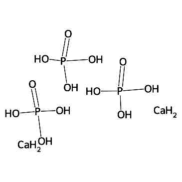 O=P(O)(O)O.O=P(O)(O)O.O=P(O)(O)O.[CaH2].[CaH2]